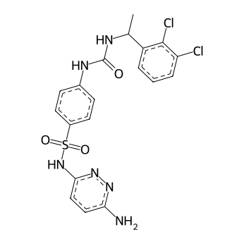 CC(NC(=O)Nc1ccc(S(=O)(=O)Nc2ccc(N)nn2)cc1)c1cccc(Cl)c1Cl